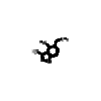 COCc1ccc2[nH]nc(N)c2c1OC